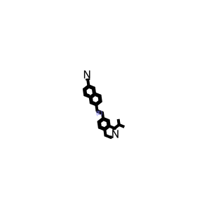 CC(C)C1=NCCc2ccc(/C=C/c3ccc4cc(C#N)ccc4c3)cc21